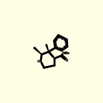 COC(=O)N1CCN[C@@H](C)[C@]1(C)c1ccccc1